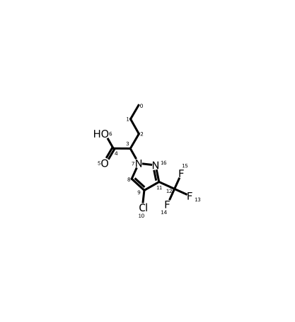 CCCC(C(=O)O)n1cc(Cl)c(C(F)(F)F)n1